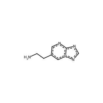 NCCc1cnc2ncnn2c1